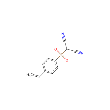 C=Cc1ccc(S(=O)(=O)C(C#N)C#N)cc1